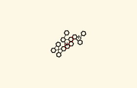 c1ccc(-c2ccccc2-c2c(-c3ccccc3)cccc2N(c2cccc(-c3cccc4c3c3ccccc3n4-c3ccccc3)c2)c2ccc3c(c2)C2(c4ccccc4-c4ccccc42)c2ccccc2-3)cc1